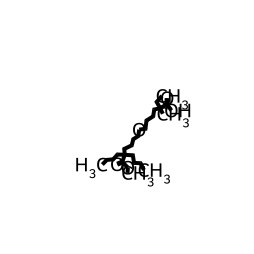 CCCCC(CCCC)(CCCCOCCCCC(C)(CC)C(=O)O)C(=O)OC